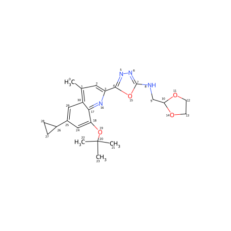 Cc1cc(-c2nnc(NCC3OCCO3)o2)nc2c(OC(C)(C)C)cc(C3CC3)cc12